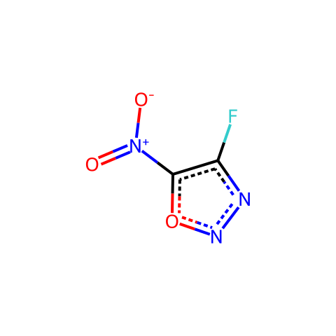 O=[N+]([O-])c1onnc1F